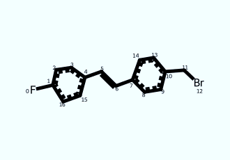 Fc1ccc(C=Cc2ccc(CBr)cc2)cc1